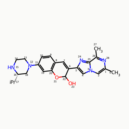 Cc1cn2cc(C3=Cc4ccc(N5CCN[C@@H](C(C)C)C5)cc4OC3O)nc2c(C)n1